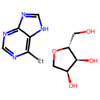 CCc1ncnc2nc[nH]c12.OC[C@H]1OC[C@H](O)[C@@H]1O